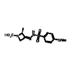 COc1ccc(S(=O)(=O)N/N=C2/CN(C(=O)O)[C@H]2C)cc1